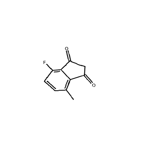 Cc1ccc(F)c2c1C(=O)CC2=O